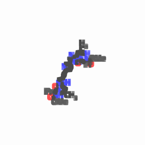 COC(=O)N[C@H](C(=O)N1C[C@@H](C)C[C@H]1c1ncc(C#Cc2ccc(-c3cnc([C@@H]4C[C@H](C)CN4C(=O)[C@@H](NC(=O)OC)C(C)C)[nH]3)cn2)[nH]1)C(C)C